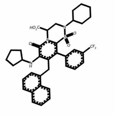 O=C(O)C1CN(C2CCCCC2)S(=O)(=O)c2c(-c3cccc(C(F)(F)F)c3)c(Cc3cccc4ccccc34)c(NC3CCCC3)c(=O)n21